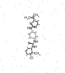 Cc1c(Cl)cccc1NC(=S)N[C@H]1CC[C@@H](Nc2nccc(N(C)C)n2)CC1